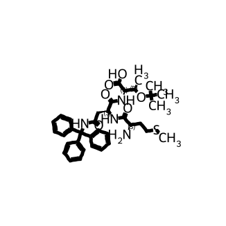 CSCC[C@H](N)C(=O)N[C@@H](CC(=O)NC(c1ccccc1)(c1ccccc1)c1ccccc1)C(=O)N[C@H](C(=O)O)[C@@H](C)OC(C)(C)C